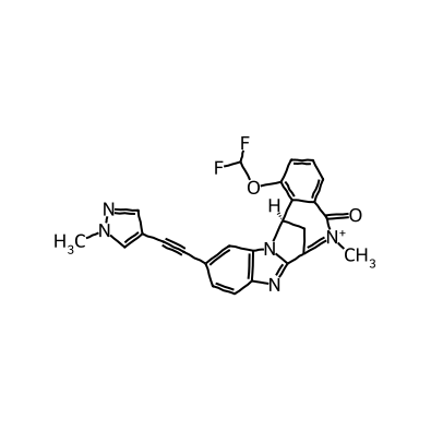 Cn1cc(C#Cc2ccc3nc4n(c3c2)[C@@H]2CC4=[N+](C)C(=O)c3cccc(OC(F)F)c32)cn1